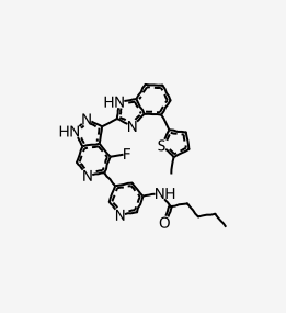 CCCCC(=O)Nc1cncc(-c2ncc3[nH]nc(-c4nc5c(-c6ccc(C)s6)cccc5[nH]4)c3c2F)c1